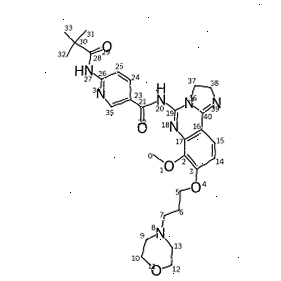 COc1c(OCCCN2CCOCC2)ccc2c1N=C(NC(=O)c1ccc(NC(=O)C(C)(C)C)nc1)N1CCN=C21